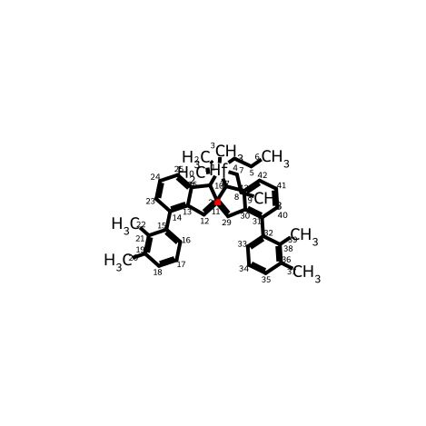 [CH2]=[Hf]([CH3])([CH3])([CH2]CC)([CH2]CC)([CH]1C=Cc2c(-c3cccc(C)c3C)cccc21)[CH]1C=Cc2c(-c3cccc(C)c3C)cccc21